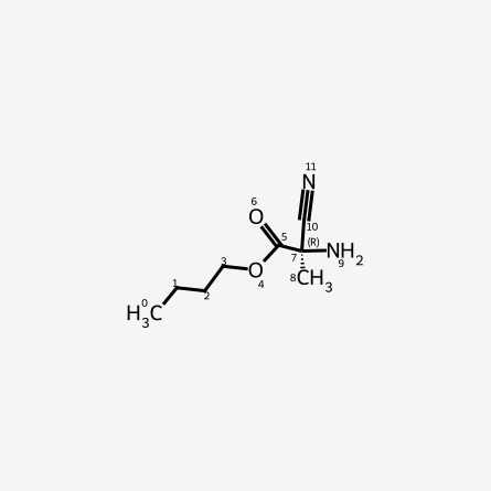 CCCCOC(=O)[C@](C)(N)C#N